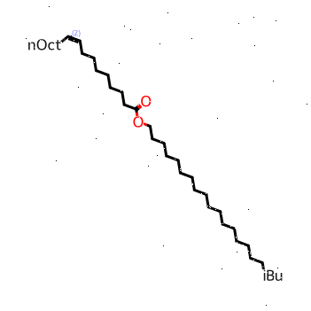 CCCCCCCC/C=C\CCCCCCCC(=O)OCCCCCCCCCCCCCCCCCC(C)CC